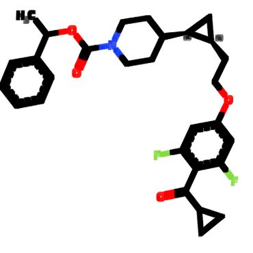 CC(OC(=O)N1CCC([C@H]2C[C@H]2CCOc2cc(F)c(C(=O)C3CC3)c(F)c2)CC1)c1ccccc1